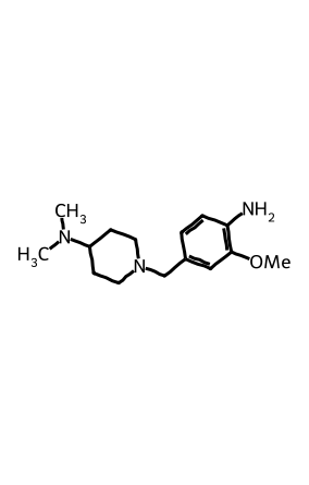 COc1cc(CN2CCC(N(C)C)CC2)ccc1N